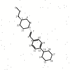 CCC[C@H]1CC[C@H](C=Cc2ccc(C3CCCCC3)cc2)CC1